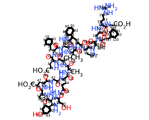 CC[C@H](C)[C@H](NC(=O)[C@H](Cc1ccccc1)NC(=O)[C@H](CCC(=O)O)NC(=O)[C@H](C)NC(=O)[C@H](C)NC(=O)[C@H](CCC(N)=O)NC(=O)CNC(=O)[C@H](CCC(=O)O)NC(=O)[C@H](CC(C)C)NC(=O)[C@H](Cc1ccc(O)cc1)NC(=O)[C@@H](N)CO)C(=O)N[C@@H](C)C(=O)N[C@@H](Cc1c[nH]c2ccccc12)C(=O)N[C@@H](CC(C)C)C(=O)N[C@H](C(=O)N(CC(=O)N[C@@H](CCCNC(=N)N)C(=O)NCC(=O)O)C(=O)OCc1ccccc1)C(C)C